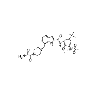 COc1c(NC(=O)c2cc3cccc(CN4CCN(C(=O)C(N)=O)CC4)c3n2C)cc(C(C)(C)C)cc1NS(C)(=O)=O